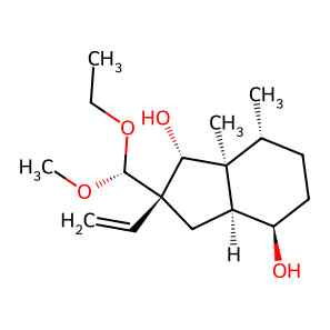 C=C[C@]1([C@H](OC)OCC)C[C@@H]2[C@H](O)CC[C@@H](C)[C@]2(C)[C@H]1O